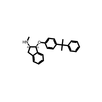 CN[C@@H]1Cc2ccccc2[C@@H]1Oc1ccc(C(C)(C)c2ccccc2)cc1